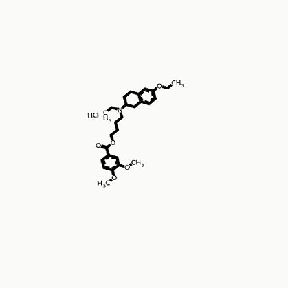 CCOc1ccc2c(c1)CCC(N(CC)CCCCOC(=O)c1ccc(OC)c(OC)c1)C2.Cl